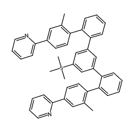 Cc1cc(-c2ccccn2)ccc1-c1ccccc1-c1cc(-c2ccccc2-c2ccc(-c3ccccn3)cc2C)cc(S(C)(C)C)c1